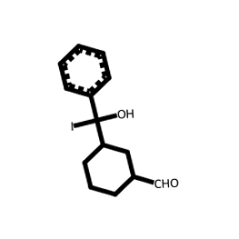 O=CC1CCCC(C(O)(I)c2ccccc2)C1